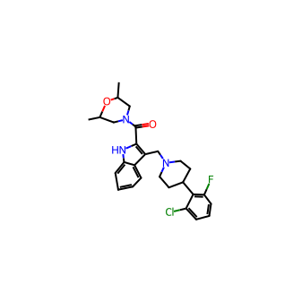 CC1CN(C(=O)c2[nH]c3ccccc3c2CN2CCC(c3c(F)cccc3Cl)CC2)CC(C)O1